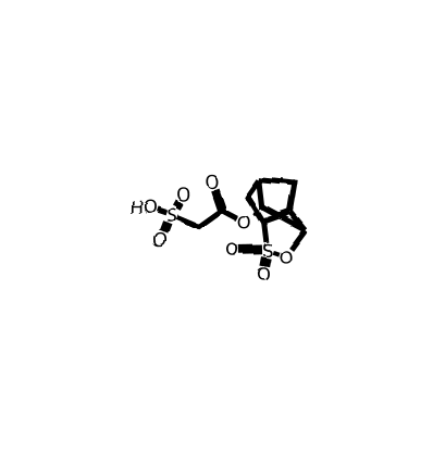 O=C(CS(=O)(=O)O)O[C@@H]1C2CC3C1OS(=O)(=O)C3C2